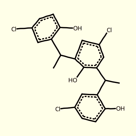 CC(c1cc(Cl)ccc1O)c1cc(Cl)cc(C(C)c2cc(Cl)ccc2O)c1O